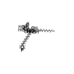 CCCCCCCCCCCCCC[C@@H](O)[C@@H](O)[C@H](CO[C@H]1OC(COC)[C@H](O)[C@H](O)C1O)NC(=O)CCCCCCCCCCc1ccc(F)cc1